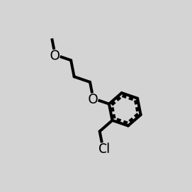 COCCCOc1ccccc1CCl